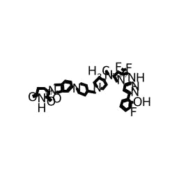 CN(C1CCN(CC2CCN(c3ccc4c(c3)C(=O)N([C@H]3CCC(=O)NC3=O)C4)CC2)CC1)[C@H]1CN2c3cc(-c4cccc(F)c4O)nnc3NC[C@@]2(C(F)F)C1